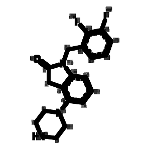 O=C1Cc2c(N3CCNCC3)cccc2N1Cc1cccc(F)c1F